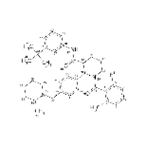 Cc1cccc(F)c1C(=O)N1CCCC(C(=O)Nc2cccc(C(C)(C)C)c2)C1c1ccc(CN2CCCCC2C)cc1